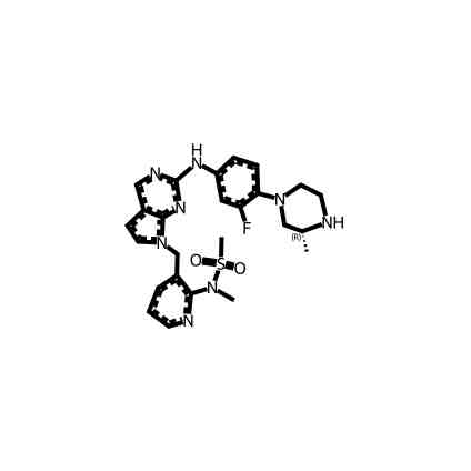 C[C@@H]1CN(c2ccc(Nc3ncc4ccn(Cc5cccnc5N(C)S(C)(=O)=O)c4n3)cc2F)CCN1